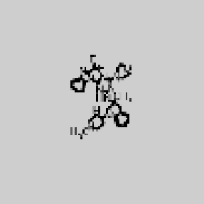 CN1CCC(Oc2ccccc2CC(C)(C)Nc2nc(N3CCOCC3)nc(-n3c(C(F)F)nc4ccccc43)n2)CC1